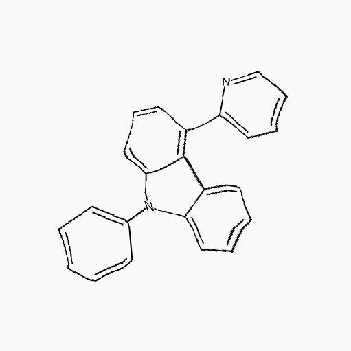 c1ccc(-n2c3ccccc3c3c(-c4ccccn4)cccc32)cc1